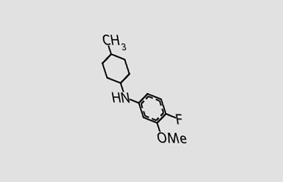 COc1cc(NC2CCC(C)CC2)ccc1F